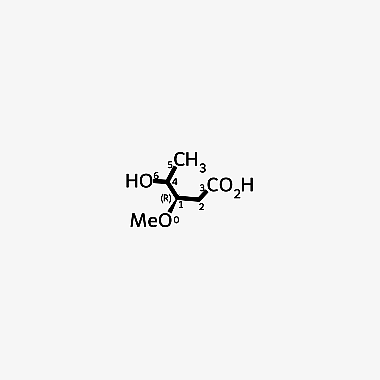 CO[C@H](CC(=O)O)C(C)O